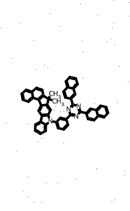 CC1(C)c2cc3c(cc2-c2c1ccc1ccccc21)c1ccccc1n3-c1cccc(-c2nc(-c3ccc4ccccc4c3)nc(-c3ccc4ccccc4c3)n2)c1